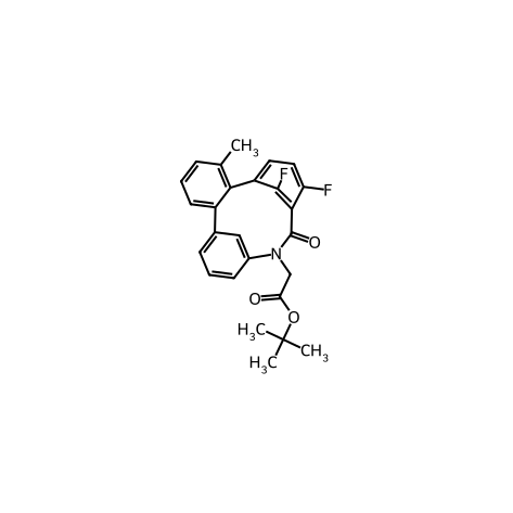 Cc1cccc2c3cccc(c3)n(CC(=O)OC(C)(C)C)c(=O)c3c(F)ccc(c3F)c12